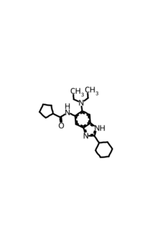 CCN(CC)c1cc2[nH]c(C3CCCCC3)nc2cc1NC(=O)C1CCCC1